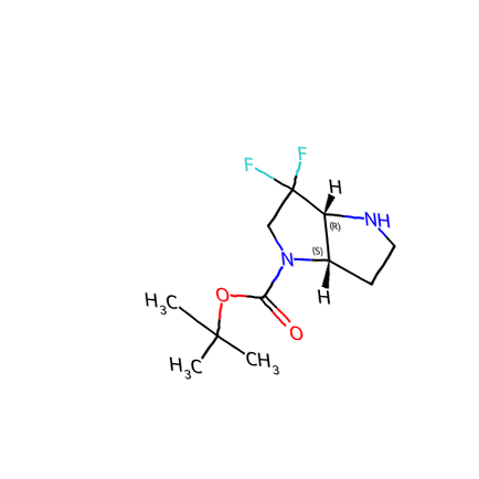 CC(C)(C)OC(=O)N1CC(F)(F)[C@@H]2NCC[C@@H]21